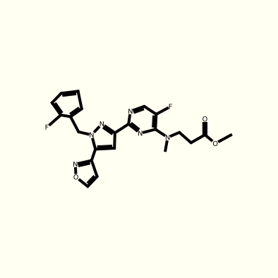 COC(=O)CCN(C)c1nc(-c2cc(-c3ccon3)n(Cc3ccccc3F)n2)ncc1F